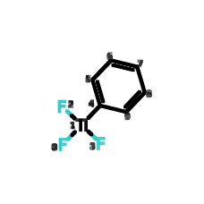 [F][Ti]([F])([F])[c]1ccccc1